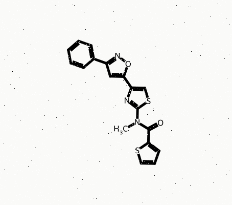 CN(C(=O)c1cccs1)c1nc(-c2cc(-c3ccccc3)no2)cs1